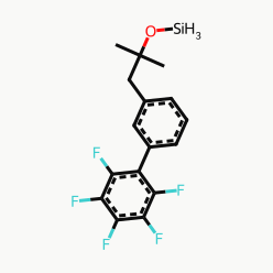 CC(C)(Cc1cccc(-c2c(F)c(F)c(F)c(F)c2F)c1)O[SiH3]